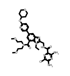 CCn1c(CNC(=O)c2nc(Cl)c(N)nc2N)nc2cc(-c3ccc(OC4CCOCC4)nc3)cc(C(=O)N(CCOC)CCOC)c21